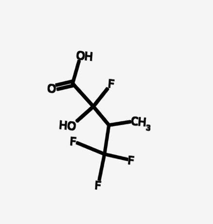 CC(C(F)(F)F)C(O)(F)C(=O)O